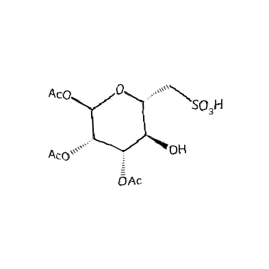 CC(=O)OC1O[C@H](CS(=O)(=O)O)[C@@H](O)[C@H](OC(C)=O)[C@@H]1OC(C)=O